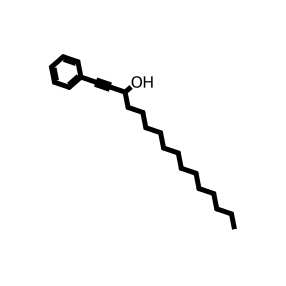 CCCCCCCCCCCCCC(O)C#Cc1ccccc1